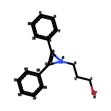 BrCCCN1C(c2ccccc2)=C1c1ccccc1